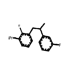 CC(C)c1cccc(CC(C)c2cccc(F)c2)c1F